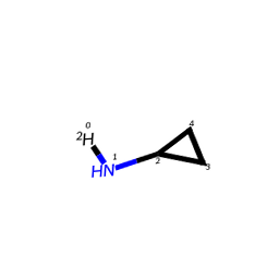 [2H]NC1CC1